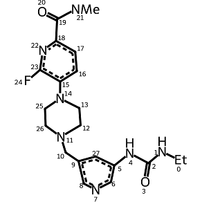 CCNC(=O)Nc1cncc(CN2CCN(c3ccc(C(=O)NC)nc3F)CC2)c1